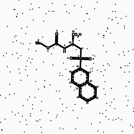 CC(C)(C)OC(=O)N[C@H](CS(=O)(=O)c1ccc2ccccc2c1)C(=O)O